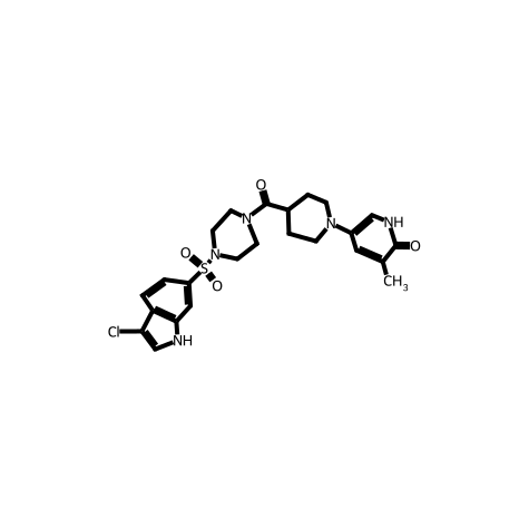 Cc1cc(N2CCC(C(=O)N3CCN(S(=O)(=O)c4ccc5c(Cl)c[nH]c5c4)CC3)CC2)c[nH]c1=O